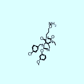 CCn1c2c(c(=O)n(CCCON)c1=O)N(Cc1ccc(Cl)cc1)C(Oc1cccc(OC)c1)=NC2